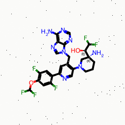 Nc1ncnc2c1ncn2Cc1cc(-c2cc(F)c(OC(F)F)cc2F)ncc1N1CCC[C@](N)([C@@H](O)C(F)F)C1